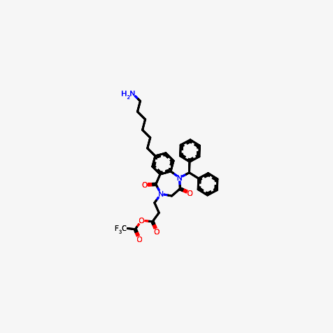 NCCCCCCc1ccc2c(c1)C(=O)N(CCC(=O)OC(=O)C(F)(F)F)CC(=O)N2C(c1ccccc1)c1ccccc1